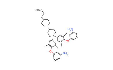 CCCCCCCCCCCC[C@H]1CC[C@H](C2CCC(c3cc(C)c(Oc4cccc(N)c4)c(C)c3)(c3cc(C)c(Oc4cccc(N)c4)c(C)c3)CC2)CC1